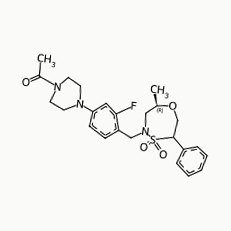 CC(=O)N1CCN(c2ccc(CN3C[C@@H](C)OCC(c4ccccc4)S3(=O)=O)c(F)c2)CC1